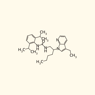 CCCCC(CNC(=O)Nc1c(C(C)C)cccc1C(C)C)n1cc(CC)c2cccnc21